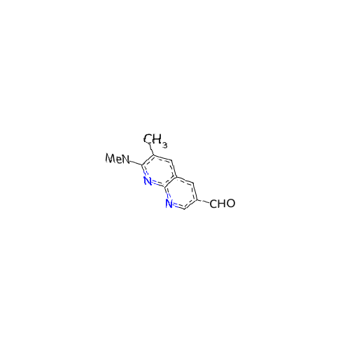 CNc1nc2ncc(C=O)cc2cc1C